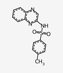 Cc1ccc(S(=O)(=O)Nc2cnc3ccccc3n2)cc1